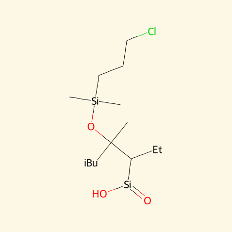 CCC(C)C(C)(O[Si](C)(C)CCCCl)C(CC)[Si](=O)O